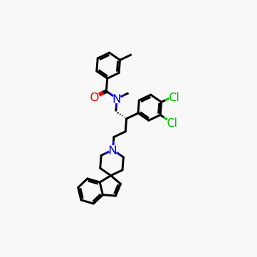 Cc1cccc(C(=O)N(C)C[C@@H](CCN2CCC3(C=Cc4ccccc43)CC2)c2ccc(Cl)c(Cl)c2)c1